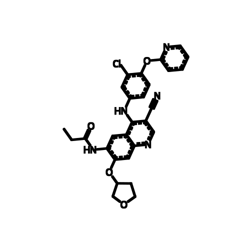 CCC(=O)Nc1cc2c(Nc3ccc(Oc4ccccn4)c(Cl)c3)c(C#N)cnc2cc1OC1CCOC1